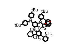 Cc1ccccc1-c1cc2c3c(c1)C1(C)CCCCC1(C)N3c1cc(N(c3ccc(C(C)(C)C)cc3)c3ccc(C(C)(C)C)cc3)cc3c1B2c1sc2ccccc2c1N3c1ccc(C(C)(C)C)cc1-c1ccccc1